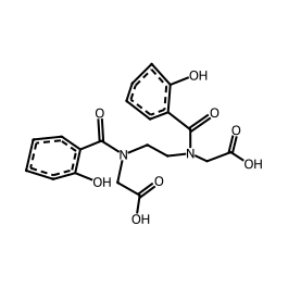 O=C(O)CN(CCN(CC(=O)O)C(=O)c1ccccc1O)C(=O)c1ccccc1O